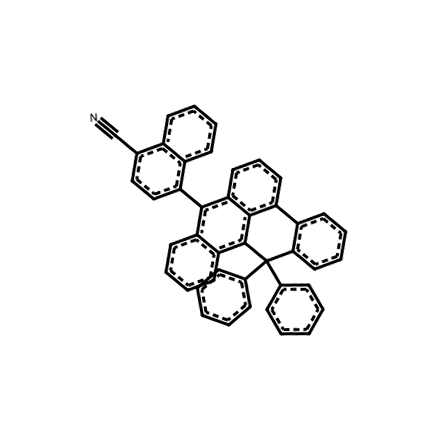 N#Cc1ccc(-c2c3ccccc3c3c4c(cccc24)-c2ccccc2C3(c2ccccc2)c2ccccc2)c2ccccc12